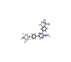 C[C@@H]1CN(c2ccc(-c3cnc(N)c(-c4ccc5c(c4)CCNC5=O)n3)cc2)C[C@H](C)N1C